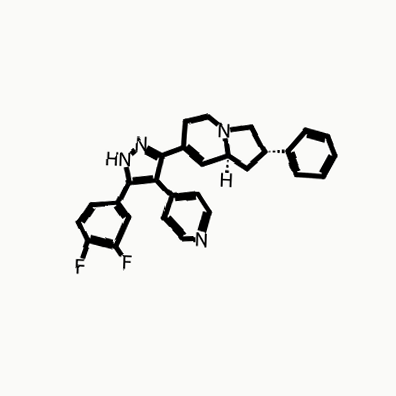 Fc1ccc(-c2[nH]nc(C3=C[C@@H]4C[C@@H](c5ccccc5)CN4CC3)c2-c2ccncc2)cc1F